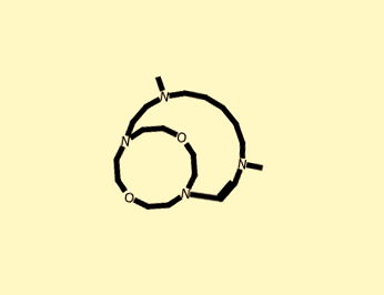 CN1/C=C\N2CCOCCN(CCOCC2)CCN(C)CCCCC1